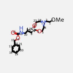 COCCN1CCO[SiH](CCCNC(=O)OCc2ccccc2)OCC1